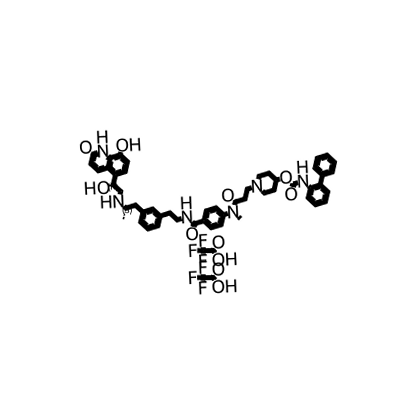 C[C@@H](Cc1cccc(CCNC(=O)c2ccc(N(C)C(=O)CCN3CCC(OC(=O)Nc4ccccc4-c4ccccc4)CC3)cc2)c1)NC[C@H](O)c1ccc(O)c2[nH]c(=O)ccc12.O=C(O)C(F)(F)F.O=C(O)C(F)(F)F